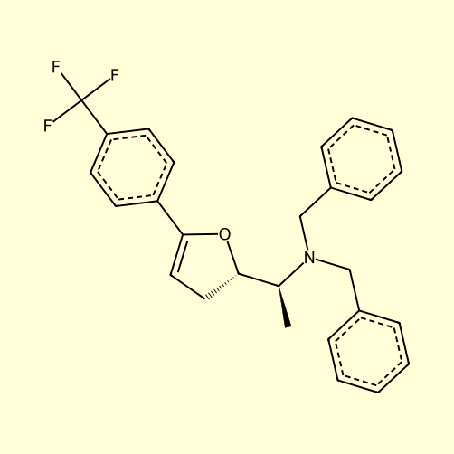 C[C@@H]([C@@H]1CC=C(c2ccc(C(F)(F)F)cc2)O1)N(Cc1ccccc1)Cc1ccccc1